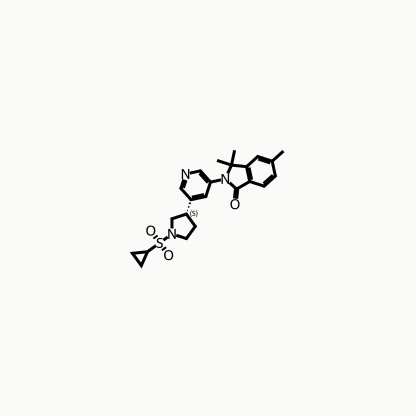 Cc1ccc2c(c1)C(C)(C)N(c1cncc([C@@H]3CCN(S(=O)(=O)C4CC4)C3)c1)C2=O